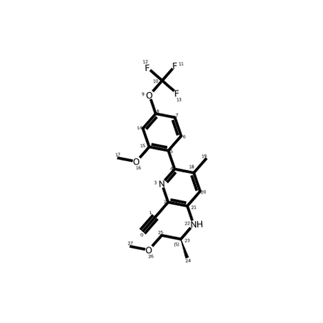 C#Cc1nc(-c2ccc(OC(F)(F)F)cc2OC)c(C)cc1N[C@@H](C)COC